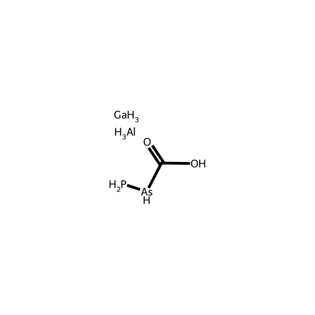 O=C(O)[AsH]P.[AlH3].[GaH3]